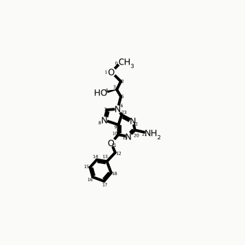 COC[C@H](O)Cn1cnc2c(OCc3ccccc3)nc(N)nc21